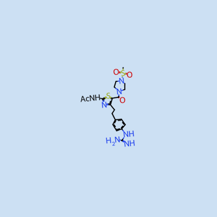 CC(=O)Nc1nc(CCc2ccc(NC(=N)N)cc2)c(C(=O)N2CCN(S(C)(=O)=O)CC2)s1